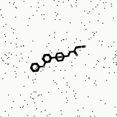 [N-]=[N+]=CC(=O)CCC12CCC(c3cccc(Oc4ccccc4)c3)(CC1)OC2